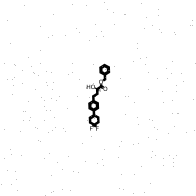 O=C(OCc1ccccc1)[C@H](O)CCc1ccc(C2=CCC(F)(F)CC2)cc1